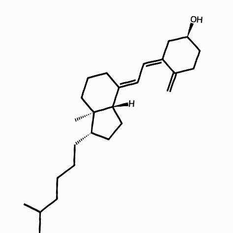 C=C1CC[C@H](O)C/C1=C/C=C1\CCC[C@]2(C)[C@@H](CCCCC(C)C)CC[C@@H]12